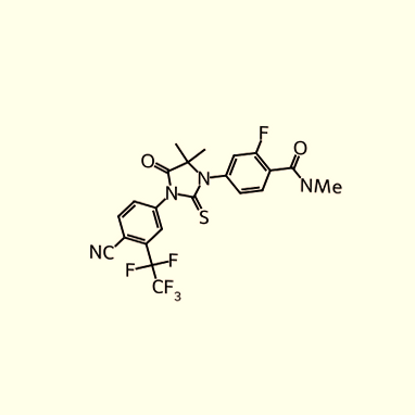 CNC(=O)c1ccc(N2C(=S)N(c3ccc(C#N)c(C(F)(F)C(F)(F)F)c3)C(=O)C2(C)C)cc1F